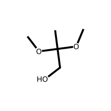 COC(C)(CO)OC